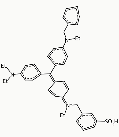 CCN(CC)c1ccc(C(=C2C=CC(=[N+](CC)Cc3cccc(S(=O)(=O)O)c3)C=C2)c2ccc(N(CC)Cc3ccccc3)cc2)cc1